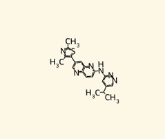 Cc1nc(C)c(-c2cnc3ccc(Nc4cc(C(C)C)cnn4)nc3c2)s1